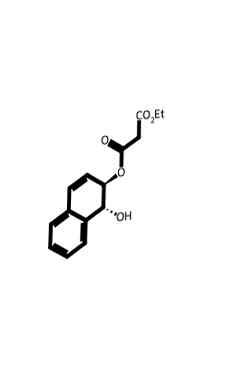 CCOC(=O)CC(=O)O[C@@H]1C=Cc2ccccc2[C@H]1O